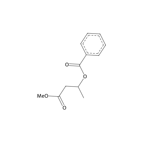 COC(=O)CC(C)OC(=O)c1ccccc1